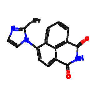 CC(C)c1nccn1-c1ccc2c3c(cccc13)C(=O)NC2=O